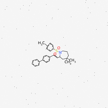 Cc1ccc(S(=O)(=O)N2CCCC(C)(C)CC2/C=C/c2ccc(-c3ccccc3)cc2)cc1